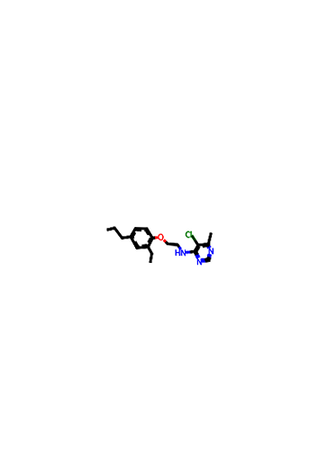 CCCc1ccc(OCCNc2ncnc(C)c2Cl)c(CC)c1